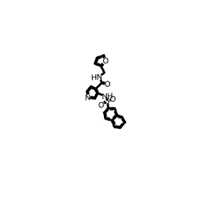 O=C(NCc1ccco1)c1ccncc1NS(=O)(=O)c1ccc2ccccc2c1